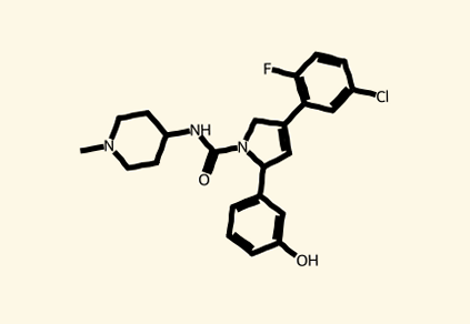 CN1CCC(NC(=O)N2CC(c3cc(Cl)ccc3F)=CC2c2cccc(O)c2)CC1